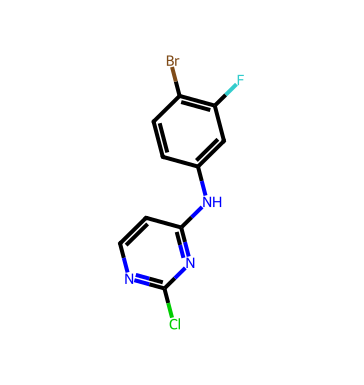 Fc1cc(Nc2ccnc(Cl)n2)ccc1Br